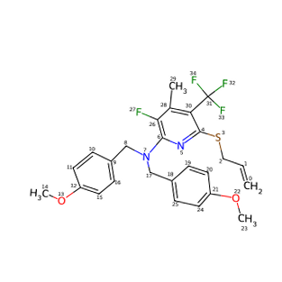 C=CCSc1nc(N(Cc2ccc(OC)cc2)Cc2ccc(OC)cc2)c(F)c(C)c1C(F)(F)F